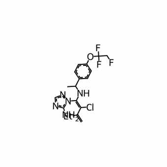 C=C(CC)/C(Cl)=C(/NC(C)c1ccc(OC(F)(F)CF)cc1)n1ncnc1N